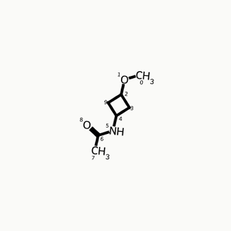 COC1CC(NC(C)=O)C1